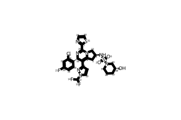 O=S(=O)(N[C@H]1CC2=C(c3ccn(C(F)F)n3)[C@H](c3ccc(F)cc3Cl)N=C(c3nccs3)N2C1)N1CCC[C@@H](O)C1